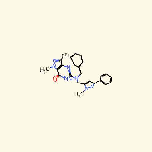 CCCc1nn(C)c2c(=O)[nH]c(N(Cc3cc(-c4ccccc4)nn3C)CC3CCCCC3)nc12